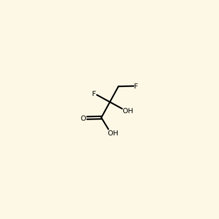 O=C(O)C(O)(F)CF